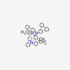 CC1(C)c2ccccc2-c2ccc(N(c3ccc4c(c3)C(C)(C)c3cccc(-n5c6c(c7ccccc75)C=CCC6)c3-4)c3ccc4c5ccccc5c5ccccc5c4c3)cc21